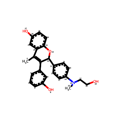 CC1=C(c2cccc(O)c2)C(c2ccc(N(C)CCO)cc2)Oc2ccc(O)cc21